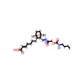 CCCCNC(=O)OCC(=O)NC[C@H]1[C@@H](CCCC/C=C/C(=O)O)[C@H]2CC[C@@H]1O2